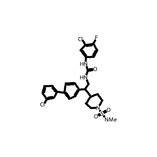 CNS(=O)(=O)N1CCC(C(CNC(=O)Nc2ccc(F)c(Cl)c2)c2ccc(-c3cccc(Cl)c3)cc2)CC1